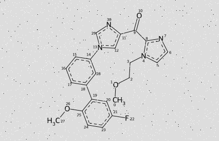 COCCn1ccnc1C(=O)c1cn(-c2cccc(-c3cc(F)ccc3OC)c2)cn1